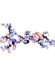 N=C(N)NCC/C=C(\NC(=O)[C@H](CCCCN)NC(=O)[C@H](Cc1cnc[nH]1)NC(=O)[C@@H]1CCCN1C(=O)/C(CCCN)=N/C(=O)CNC(=O)[C@H](CCC(N)=O)NC(=O)[C@@H](NC(=O)[C@@H](N)CCCCN)[C@@H](O)CN)C(N)=O